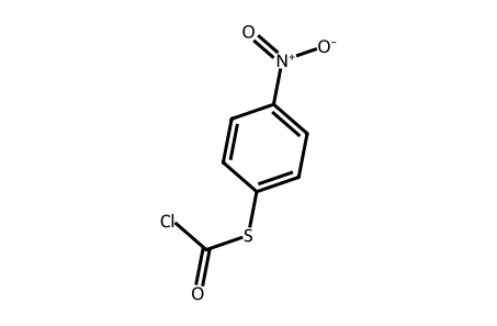 O=C(Cl)Sc1ccc([N+](=O)[O-])cc1